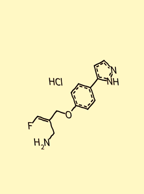 Cl.NC/C(=C\F)COc1ccc(-c2ccn[nH]2)cc1